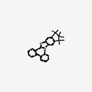 CC1(C)c2cc3nc4c5ccccc5c5ccccc5n4c3cc2C(C)(C)C1(C)C